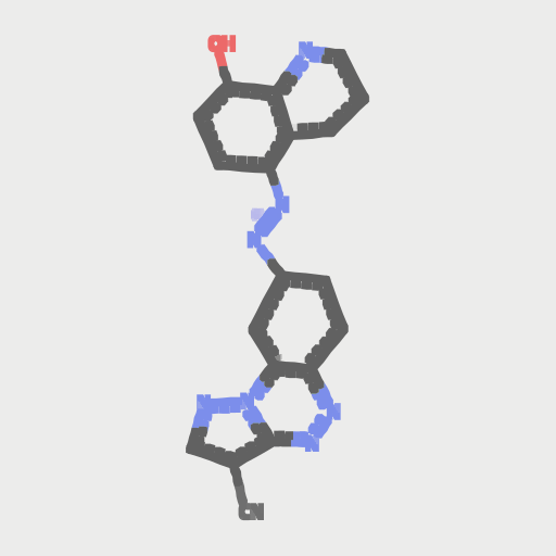 N#Cc1cnn2c1nnc1ccc(/N=N/c3ccc(O)c4ncccc34)cc12